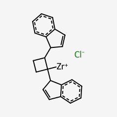 [Cl-].[Zr+][C]1(C2C=Cc3ccccc32)CCC1C1C=Cc2ccccc21